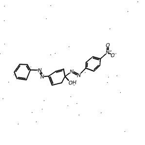 O=[N+]([O-])c1ccc(N=NC2(O)C=CC(N=Nc3ccccc3)=CC2)cc1